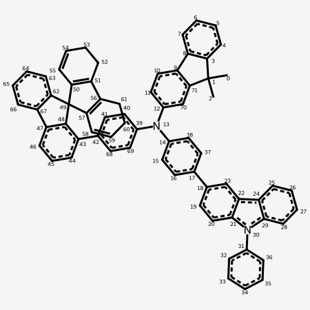 CC1(C)c2ccccc2-c2ccc(N(c3ccc(-c4ccc5c(c4)c4ccccc4n5-c4ccccc4)cc3)c3ccc(-c4cccc5c4C4(C6=C(CCC=C6)C6=C4C=CCC6)c4ccccc4-5)cc3)cc21